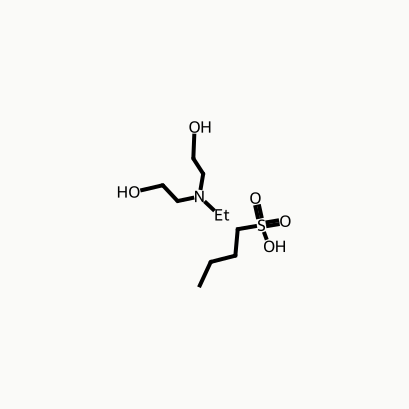 CCCCS(=O)(=O)O.CCN(CCO)CCO